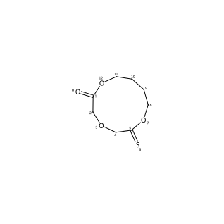 O=C1COCC(=S)OCCCCO1